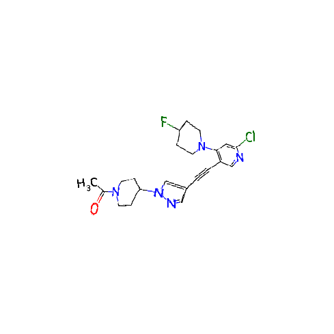 CC(=O)N1CCC(n2cc(C#Cc3cnc(Cl)cc3N3CCC(F)CC3)cn2)CC1